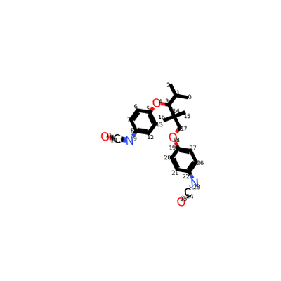 CC(C)C(Oc1ccc(N=C=O)cc1)C(C)(C)COc1ccc(N=C=O)cc1